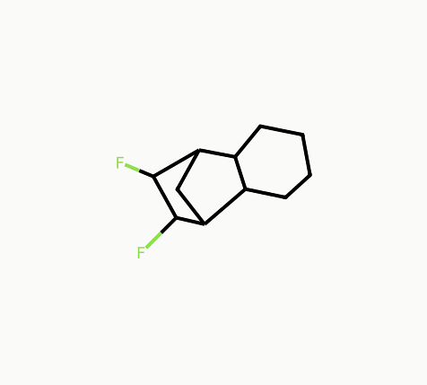 FC1C(F)C2CC1C1CCCCC21